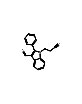 N#CCCn1c(-c2ccccc2)c(C=O)c2ccccc21